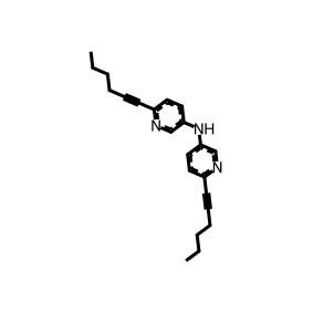 CCCCC#Cc1ccc(Nc2ccc(C#CCCCC)nc2)cn1